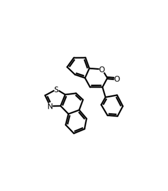 O=c1oc2ccccc2cc1-c1ccccc1.c1ccc2c(c1)ccc1scnc12